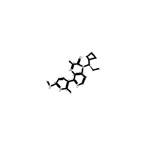 CC[C@H](C1CCC1)n1c(=O)c(C)nc2c(-c3ccc(OC)nc3C)nccc21